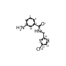 Nc1cccc(C(=O)NCc2ncc(Cl)s2)c1